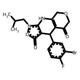 CC(C)Cn1oc(=O)c2c1NC1=C(C(=O)COC1)C2c1ccc(F)c(Br)c1